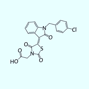 O=C(O)CN1C(=O)S/C(=C2\C(=O)N(Cc3ccc(Cl)cc3)c3ccccc32)C1=O